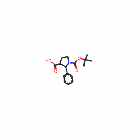 CC(C)(C)OC(=O)N1CCC(C(=O)O)C1c1ccccc1